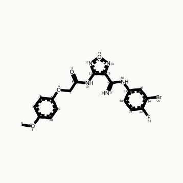 COc1ccc(OCC(=O)Nc2nonc2C(=N)Nc2ccc(F)c(Br)c2)cc1